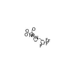 COC(=O)c1nn(-c2cccc(Cc3cc(F)cc(C(F)(F)F)c3)n2)cc1C=O